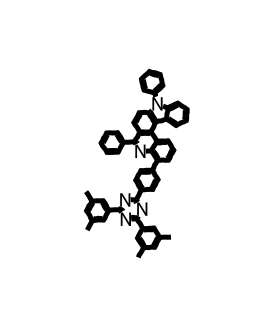 Cc1cc(C)cc(-c2nc(-c3ccc(-c4cccc5c4nc(-c4ccccc4)c4ccc6c(c7ccccc7n6-c6ccccc6)c45)cc3)nc(-c3cc(C)cc(C)c3)n2)c1